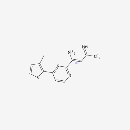 Cc1ccsc1-c1ccnc(/C(N)=C/C(=N)C(F)(F)F)n1